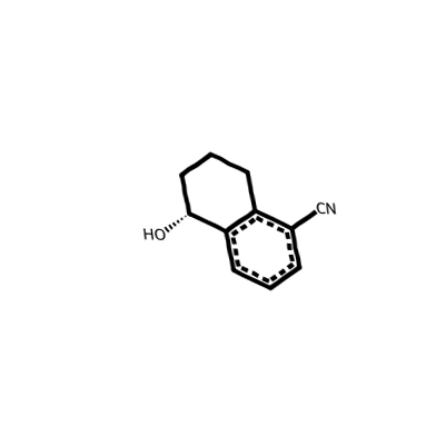 N#Cc1cccc2c1CCC[C@H]2O